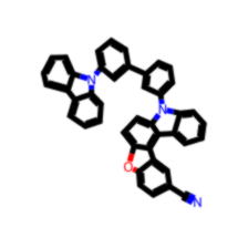 N#Cc1ccc2oc3ccc4c(c5ccccc5n4-c4cccc(-c5cccc(-n6c7ccccc7c7ccccc76)c5)c4)c3c2c1